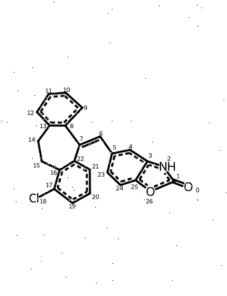 O=c1[nH]c2cc(/C=C3/c4ccccc4CCc4c(Cl)cccc43)ccc2o1